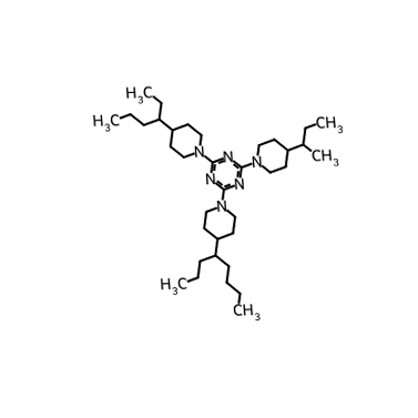 CCCCC(CCC)C1CCN(c2nc(N3CCC(C(C)CC)CC3)nc(N3CCC(C(CC)CCC)CC3)n2)CC1